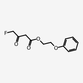 O=C(CF)CC(=O)OCCOc1ccccc1